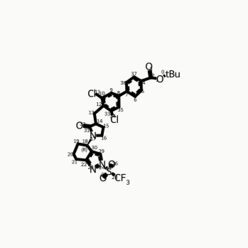 CC(C)(C)OC(=O)c1ccc(-c2cc(Cl)c(CC3CCN([C@@H]4CCCc5nn(S(=O)(=O)C(F)(F)F)cc54)C3=O)c(Cl)c2)cc1